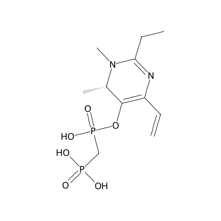 C=CC1=C(OP(=O)(O)CP(=O)(O)O)[C@H](C)N(C)C(CC)=N1